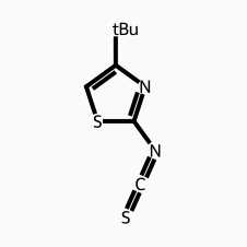 CC(C)(C)c1csc(N=C=S)n1